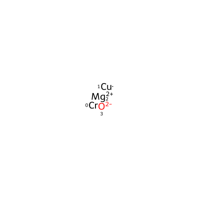 [Cr].[Cu].[Mg+2].[O-2]